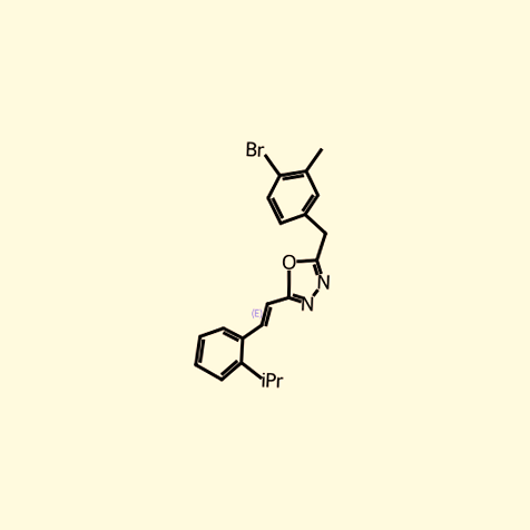 Cc1cc(Cc2nnc(/C=C/c3ccccc3C(C)C)o2)ccc1Br